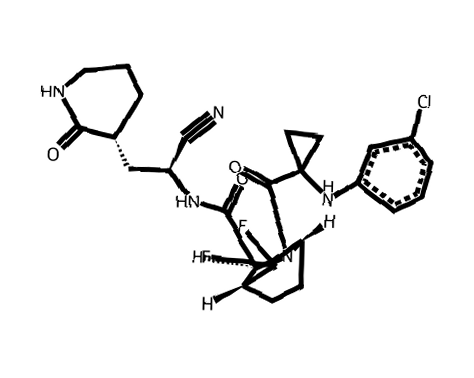 N#C[C@H](C[C@H]1CCCNC1=O)NC(=O)[C@@H]1[C@H]2CC[C@H](CC2(F)F)N1C(=O)C1(Nc2cccc(Cl)c2)CC1